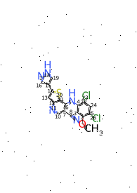 COc1cc(Nc2c(C#N)cnc3cc(-c4cn[nH]c4)sc23)c(Cl)cc1Cl